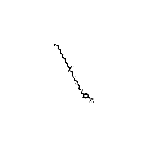 O=C(CCCCCCCCCCS)NCCOCCOCC/N=C/c1ccc(BO)cc1